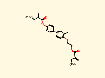 C=C(COC)C(=O)OCCOc1ccc(-c2ccc(OC(=O)C(=C)COC)cc2)cc1C